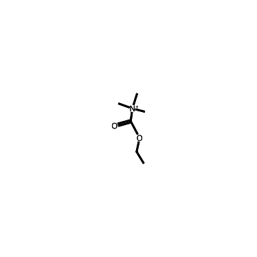 CCOC(=O)[N+](C)(C)C